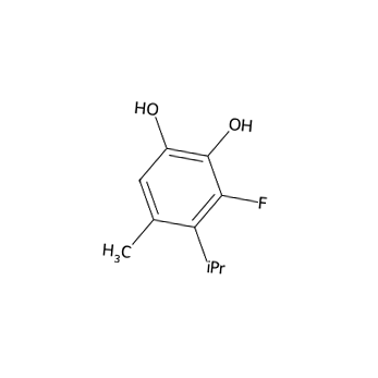 Cc1cc(O)c(O)c(F)c1C(C)C